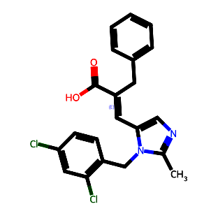 Cc1ncc(/C=C(\Cc2ccccc2)C(=O)O)n1Cc1ccc(Cl)cc1Cl